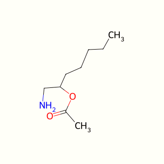 CCCCCC(CN)OC(C)=O